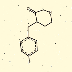 O=C1C[N]CCN1Cc1ccc(F)cc1